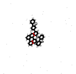 c1ccc(-c2cccc3cccc(-c4ccccc4N(c4ccc(-c5ccc6c(c5)oc5ccccc56)cc4)c4cccc5sc6ccccc6c45)c23)cc1